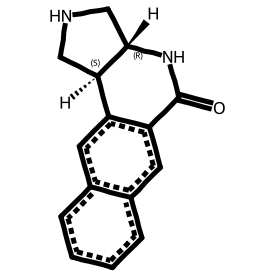 O=C1N[C@H]2CNC[C@@H]2c2cc3ccccc3cc21